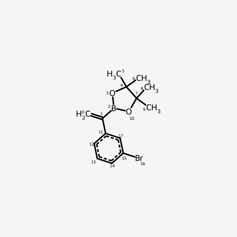 C=C(B1OC(C)(C)C(C)(C)O1)c1cccc(Br)c1